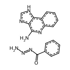 NN=NC(=O)c1ccccc1.Nc1nc2ccccc2c2[nH]cnc12